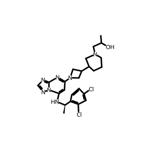 CC(O)CN1CCCC(C2CN(c3cc(N[C@H](C)c4ccc(Cl)cc4Cl)n4ncnc4n3)C2)C1